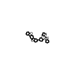 c1cnc(-c2nc3ccccc3n2-c2ccc(-c3ccc4oc5cc6c(cc5c4c3)oc3ccccc36)cc2)nc1